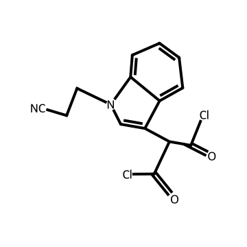 N#CCCn1cc(C(C(=O)Cl)C(=O)Cl)c2ccccc21